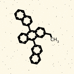 CCc1ccc2c(-c3ccc4ccccc4c3)c3ccccc3c(-c3ccc4ccccc4c3)c2c1